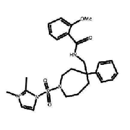 COc1ccccc1C(=O)NCC1(c2ccccc2)CCCN(S(=O)(=O)n2cc[n+](C)c2C)CC1